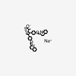 CC(C([O-])=S)c1scc(-c2ccc(OCc3ccc4ccccc4n3)cc2)c1-c1ccc(OCc2ccc3ccccc3n2)cc1.[Na+]